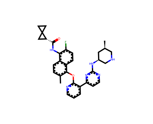 Cc1ccc2c(NC(=O)[C@@H]3CC34CC4)c(F)ccc2c1Oc1ncccc1-c1ccnc(N[C@@H]2CNC[C@H](C)C2)n1